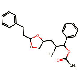 CC(=O)OC(c1ccccc1)C(C)CC1COC(CCc2ccccc2)O1